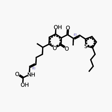 CCCCc1ccc(/C=C(\C)C(=O)c2c(O)cc(C(C)CC/C=C/NC(=O)O)oc2=O)s1